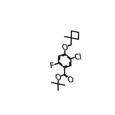 CC1(COc2cc(F)c(C(=O)OC(C)(C)C)cc2Cl)CCC1